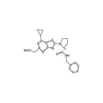 COCc1nc(C2CC2)c2sc(N3CCC[C@@H]3C(=O)NCc3ccccc3)nc2n1